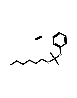 C=C.CCCCCCOC(C)(C)Oc1ccccc1